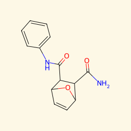 NC(=O)C1C2C=CC(O2)C1C(=O)Nc1ccccc1